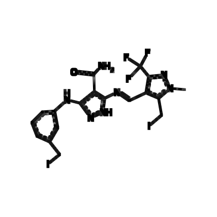 Cn1nc(C(F)(F)F)c(/C=N/c2[nH]nc(Nc3cccc(CI)c3)c2C(N)=O)c1CI